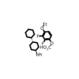 CCC[C@H]1CC[C@H](C2CCCCC2)CC1.CCOc1ccc(OC(=O)O)c(F)c1F